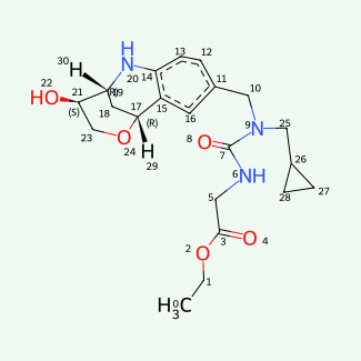 CCOC(=O)CNC(=O)N(Cc1ccc2c(c1)[C@H]1C[C@@H](N2)[C@H](O)CO1)CC1CC1